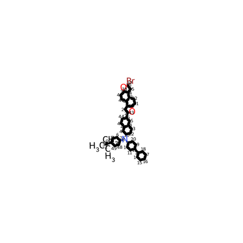 CC(C)(C)c1ccc(N(c2ccc(-c3ccccc3)cc2)c2ccc3cc(-c4cc5c(ccc6c7cc(Br)oc7ccc56)o4)ccc3c2)cc1